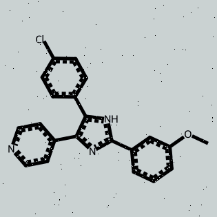 COc1cccc(-c2nc(-c3ccncc3)c(-c3ccc(Cl)cc3)[nH]2)c1